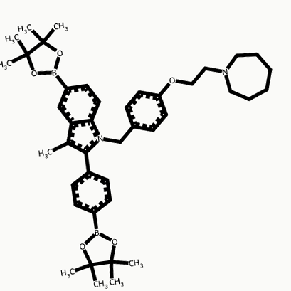 Cc1c(-c2ccc(B3OC(C)(C)C(C)(C)O3)cc2)n(Cc2ccc(OCCN3CCCCCC3)cc2)c2ccc(B3OC(C)(C)C(C)(C)O3)cc12